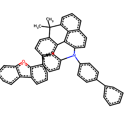 CC1(C)c2ccc(-c3cccc4c3oc3ccccc34)cc2-c2c(N(c3ccccc3)c3ccc(-c4ccccc4)cc3)ccc3cccc1c23